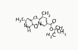 Cc1cc(Oc2ncc(C(=O)OC(C)(C)C)cc2C)c(=O)[nH]n1